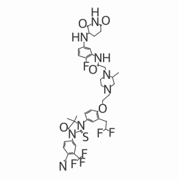 CC1CN(CCOc2ccc(N3C(=S)N(c4ccc(C#N)c(C(F)(F)F)c4)C(=O)C3(C)C)cc2CC(F)F)CCN1CC(=O)Nc1cc(NC2CCC(=O)NC2=O)ccc1F